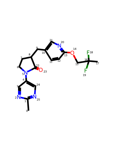 Cc1ncc(N2CCC(Cc3ccc(OCC(C)(F)F)nc3)C2=O)cn1